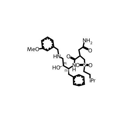 COc1cccc(CNC[C@@H](O)[C@H](Cc2ccccc2)NC(=O)C(CC(N)=O)CS(=O)(=O)CCC(C)C)c1